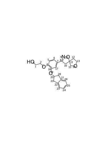 OCCOc1ccc(C2=NOC3(CCOC3)C2)cc1OC1Cc2ccccc2C1